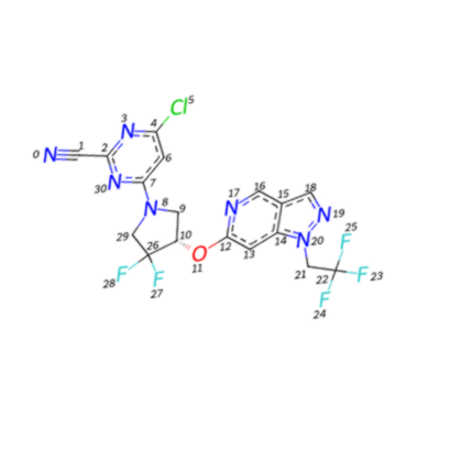 N#Cc1nc(Cl)cc(N2C[C@H](Oc3cc4c(cn3)cnn4CC(F)(F)F)C(F)(F)C2)n1